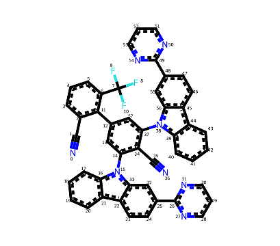 N#Cc1cccc(C(F)(F)F)c1-c1cc(-n2c3ccccc3c3ccc(-c4ncccn4)cc32)c(C#N)c(-n2c3ccccc3c3ccc(-c4ncccn4)cc32)c1